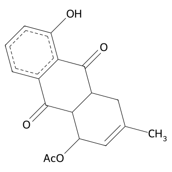 CC(=O)OC1C=C(C)CC2C(=O)c3c(O)cccc3C(=O)C12